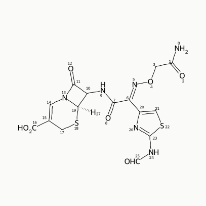 NC(=O)CON=C(C(=O)NC1C(=O)N2C=C(C(=O)O)CS[C@H]12)c1csc(NC=O)n1